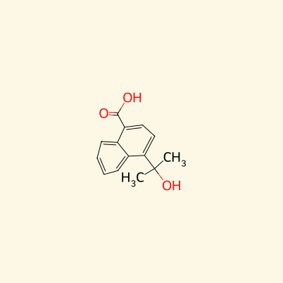 CC(C)(O)c1ccc(C(=O)O)c2ccccc12